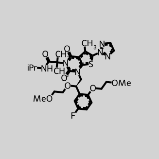 COCCOc1ccc(F)cc1[C@H](Cn1c(=O)n(C(C)(C)C(=O)NC(C)C)c(=O)c2c(C)c(-n3nccn3)sc21)OCCOC